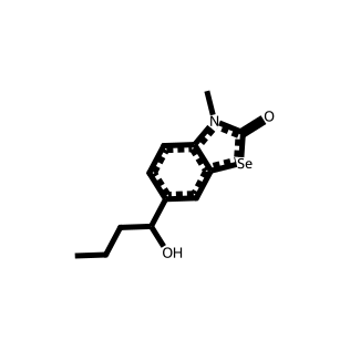 CCCC(O)c1ccc2c(c1)[se]c(=O)n2C